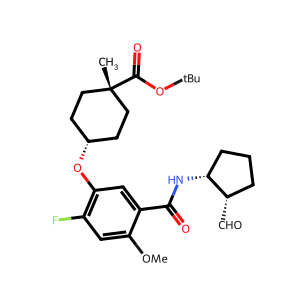 COc1cc(F)c(O[C@H]2CC[C@@](C)(C(=O)OC(C)(C)C)CC2)cc1C(=O)N[C@@H]1CCC[C@@H]1C=O